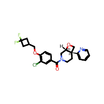 O=C(c1ccc(OCC2CC(F)(F)C2)c(Cl)c1)N1CC[C@@]2(c3ccccn3)CO[C@H]2C1